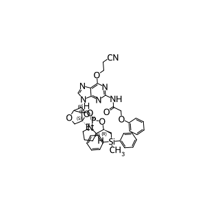 CC[C@@]12COC([C@H](n3cnc4c(OCCC#N)nc(NC(=O)COc5ccccc5)nc43)O1)[C@H]2O[P@]1O[C@@H](C[Si](C)(c2ccccc2)c2ccccc2)[C@H]2CCCN21